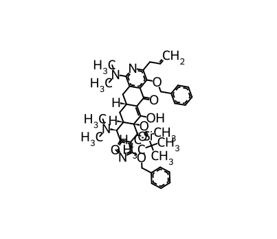 C=CCc1nc(N(C)C)c2c(c1OCc1ccccc1)C(=O)C1=C(O)[C@]3(O[Si](C)(C)C(C)(C)C)C(=O)c4c(OCc5ccccc5)noc4[C@@H](N(C)C)[C@@H]3C[C@@H]1C2